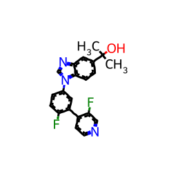 CC(C)(O)c1ccc2c(c1)ncn2-c1ccc(F)c(-c2ccncc2F)c1